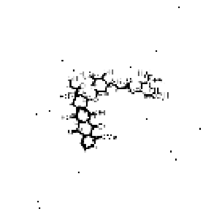 COc1cccc2c1C(=O)c1c(O)c3c(c(O)c1C2=O)C[C@@](O)(C(=O)CO)C[C@@H]3OC1CC(NCC(=O)O[C@H](CC(=O)O)C[N+](C)(C)C)C(O)C(C)O1